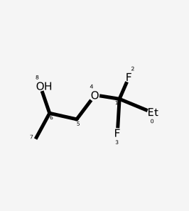 CCC(F)(F)OCC(C)O